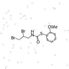 COc1ccccc1SC(=O)NCC(Br)CBr